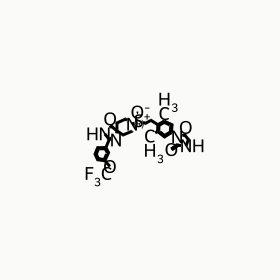 Cc1cc(N2C(=O)CNC2=O)cc(C)c1CC[S@+]([O-])N1CCC2(CC1)N=C(c1cccc(OC(F)(F)F)c1)NC2=O